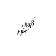 CC(O)CNCC1CCC(c2nc(-c3cccc(OCc4ccccc4)c3)n3ccnc(N)c23)CC1